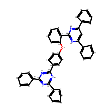 c1ccc(-c2cc(-c3ccccc3)nc(-c3ccccc3Oc3ccc(-c4nc(-c5ccccc5)nc(-c5ccccc5)n4)cc3)n2)cc1